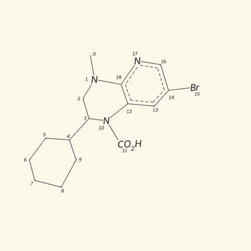 CN1CC(C2CCCCC2)N(C(=O)O)c2cc(Br)cnc21